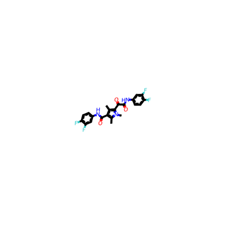 Cc1c(C(=O)Nc2ccc(F)c(F)c2)c(C)n(C)c1C(=O)C(=O)Nc1ccc(F)c(F)c1